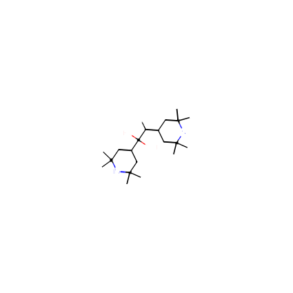 CCCCCCCCC(C1CC(C)(C)NC(C)(C)C1)C(O)(O)C1CC(C)(C)NC(C)(C)C1